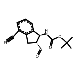 CC(C)(C)OC(=O)N[C@@H]1c2cccc(C#N)c2C[C@H]1C=O